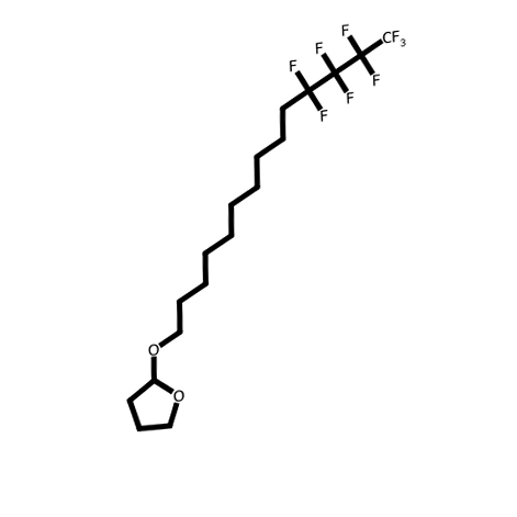 FC(F)(F)C(F)(F)C(F)(F)C(F)(F)CCCCCCCCCCOC1CCCO1